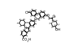 O=C(O)c1ccc2c(c1)nc(-c1ccc(OCc3cc(OCC(=O)N4CCC(O)CC4)ccc3-c3ccc(Cl)cc3)cc1)n2C1CCCCC1